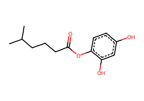 CC(C)CCCC(=O)Oc1ccc(O)cc1O